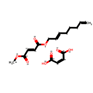 C=CCCCC=CCOC(=O)/C=C/C(=O)OC.O=C(O)/C=C\C(=O)O